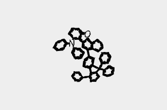 c1ccc(-c2cccc3c2-c2ccc(-c4cc5c(oc6cccc(N(c7ccccc7)c7ccccc7)c65)c5ccccc45)cc2C3(c2ccccc2)c2ccccc2)cc1